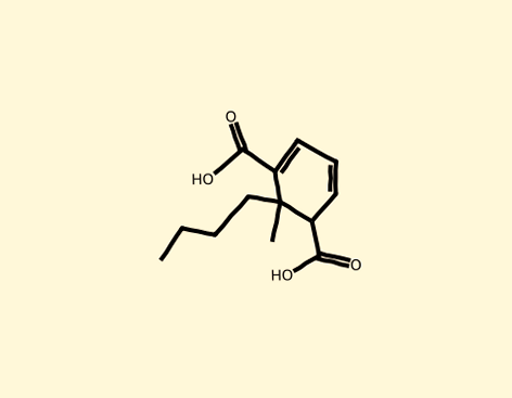 CCCCC1(C)C(C(=O)O)=CC=CC1C(=O)O